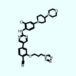 N#Cc1ccc(-c2cnc(Nc3ccc(N4CCC(N5CCOCC5)CC4)cc3Cl)nc2)cc1OCCCn1cnnn1